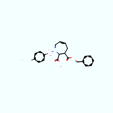 COc1ccc(S(=O)(=O)N2CC=CCC(C(=O)OCc3ccccc3)C2C(=O)OC(C)(C)C)cc1